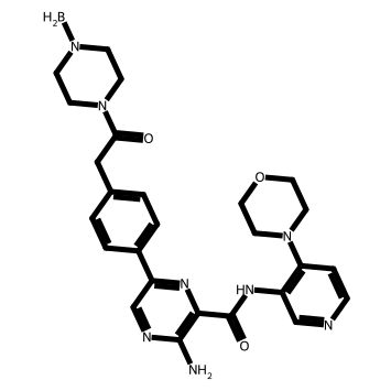 BN1CCN(C(=O)Cc2ccc(-c3cnc(N)c(C(=O)Nc4cnccc4N4CCOCC4)n3)cc2)CC1